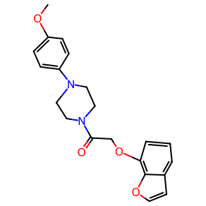 COc1ccc(N2CCN(C(=O)COc3cccc4ccoc34)CC2)cc1